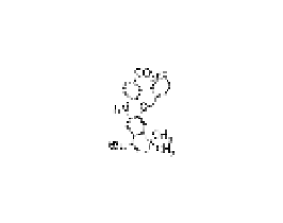 CCOC(=O)c1ccc(Nc2cc3c(cc2OCc2ccccc2)C(C)(C)CC=C3C(C)(C)C)cc1